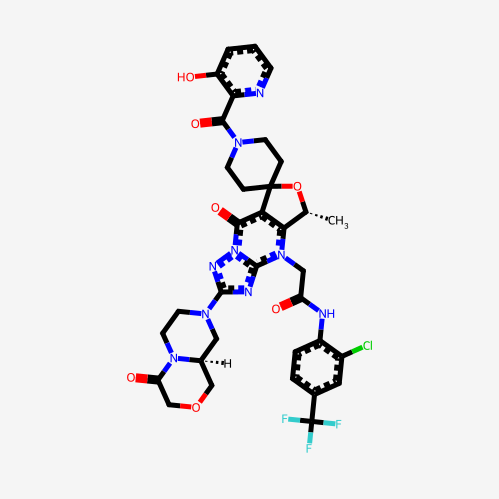 C[C@H]1OC2(CCN(C(=O)c3ncccc3O)CC2)c2c1n(CC(=O)Nc1ccc(C(F)(F)F)cc1Cl)c1nc(N3CCN4C(=O)COC[C@@H]4C3)nn1c2=O